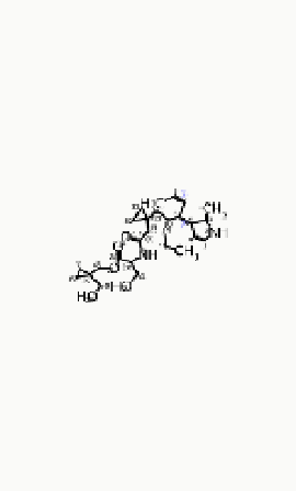 C=c1[nH]cc/c1=C(/C=C\C)CCC1([C@H](CCC)C(=O)NC(CO)C(=O)OCC2(CO)CC2)CC1